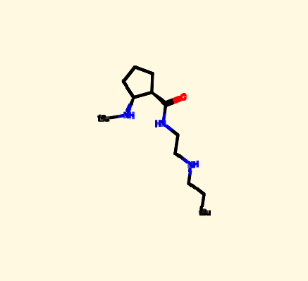 CC(C)(C)CCNCCNC(=O)[C@@H]1CCC[C@@H]1NC(C)(C)C